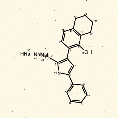 Oc1c(-c2cc(-c3ccccc3)sc2Cl)ccc2c1CCCC2.[NaH].[NaH].[NaH]